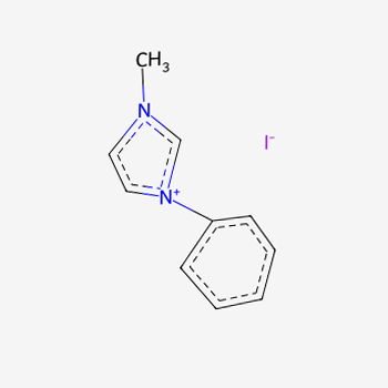 Cn1cc[n+](-c2ccccc2)c1.[I-]